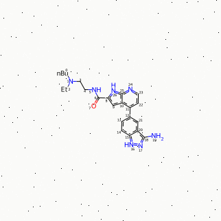 CCCCN(CC)CCNC(=O)c1cc2c(-c3ccc4[nH]nc(N)c4c3)ccnc2[nH]1